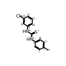 Cc1ccc(NC(=S)Nc2cccc(Cl)c2)cc1